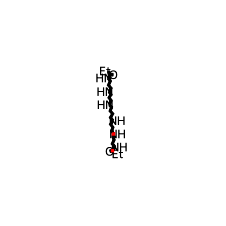 CCC(=O)NCCCNCCCNCCCCNCCCNCCCNC(=O)CC